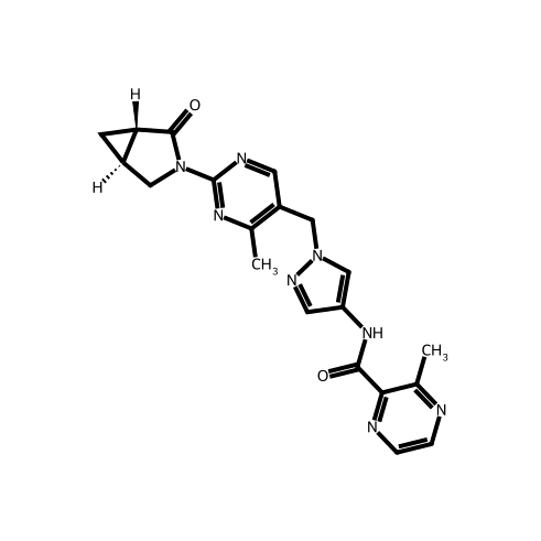 Cc1nc(N2C[C@H]3C[C@@H]3C2=O)ncc1Cn1cc(NC(=O)c2nccnc2C)cn1